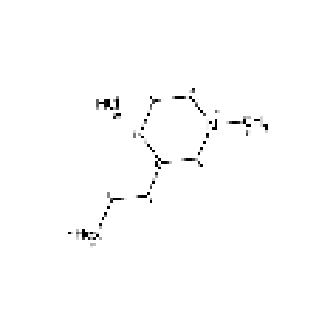 CCCCCCCCC1CCCN(C)C1.Cl